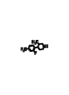 CC1CNCCC1c1ccc(C(F)(F)F)cc1F